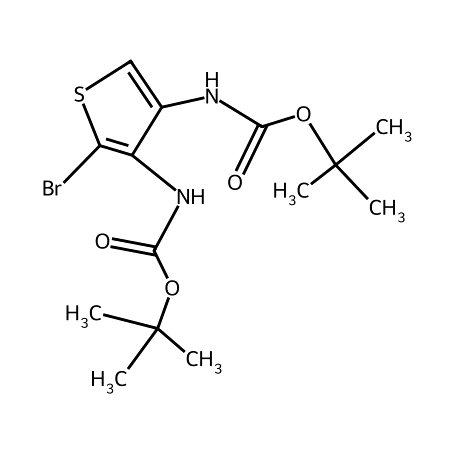 CC(C)(C)OC(=O)Nc1csc(Br)c1NC(=O)OC(C)(C)C